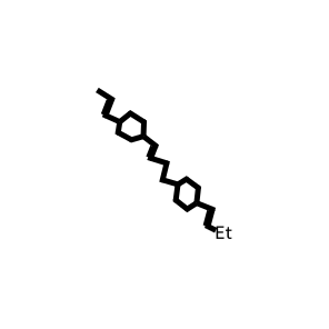 CC=CC1CCC(C=CCCC2CCC(C=CCC)CC2)CC1